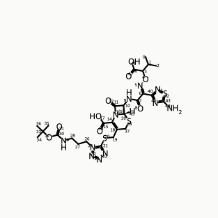 CC(C)C(ON=C(C(=O)NC1C(=O)N2C(C(=O)O)=C(CSc3nnnn3CCCNC(=O)OC(C)(C)C)CS[C@@H]12)c1nsc(N)n1)C(=O)O